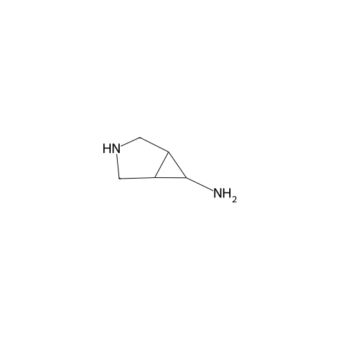 NC1C2CNCC12